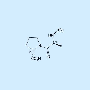 C[C@H](NC(C)(C)C)C(=O)N1CCC[C@H]1C(=O)O